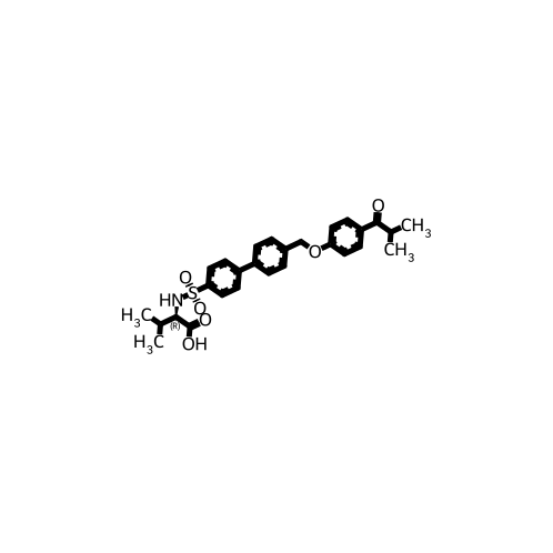 CC(C)C(=O)c1ccc(OCc2ccc(-c3ccc(S(=O)(=O)N[C@@H](C(=O)O)C(C)C)cc3)cc2)cc1